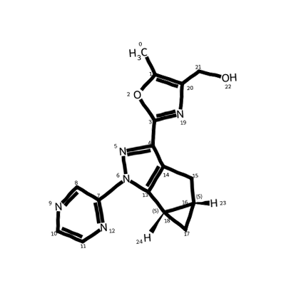 Cc1oc(-c2nn(-c3cnccn3)c3c2C[C@@H]2C[C@H]32)nc1CO